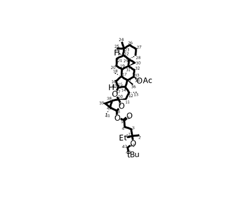 CCC(C)(CCC(=O)OC1O[C@]2(C[C@@H](C)C3[C@H](C[C@@]4(C)C5CC[C@H]6C(C)(C)CCC[C@@]67C[C@@]57C[C@@H](OC(C)=O)[C@]34C)O2)C2C[C@]12C)OCC(C)(C)C